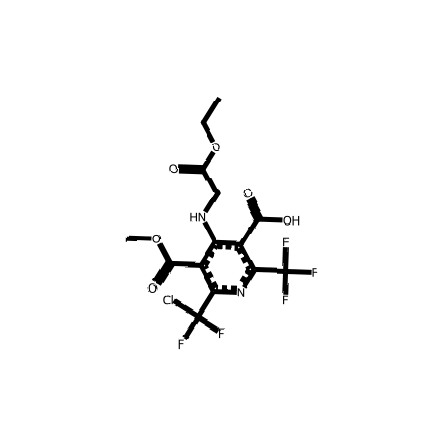 CCOC(=O)CNc1c(C(=O)O)c(C(F)(F)F)nc(C(F)(F)Cl)c1C(=O)OC